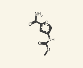 COC(=O)Nc1coc(C(N)=O)c1